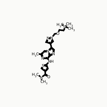 Cc1cn2c(-c3cnn(COCC[Si](C)(C)C)c3)cnc2c(Nc2cc(C(=O)N(C)C)cs2)n1